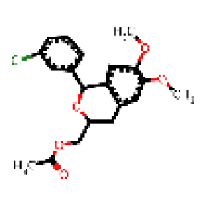 COc1cc2c(cc1OC)C(c1cccc(Cl)c1)OC(COC(C)=O)C2